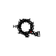 CC[C@H](C)[C@@H]1NC(=O)[C@@H]2CCCN2C(=O)[C@H](Cc2cccc(-c3ccc(Cl)c(Cl)c3)c2)N(C)C(=O)[C@H](Cc2ccccc2)NC(=O)[C@H](C(C)C)N(C)C(=O)[C@@H]([C@@H](C)CC)OC(=O)[C@H](C(C)(C)O)N(C)C(=O)[C@H](CC(C)C)NC(=O)[C@H](C(C)C)N(C)C1=O